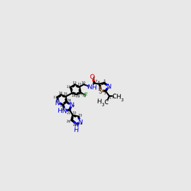 CC(C)c1ncc(C(=O)NCc2ccc(-c3ccnc4[nH]c(-c5cn[nH]c5)nc34)cc2F)s1